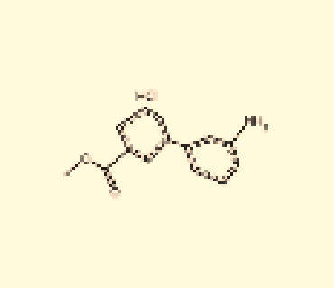 COC(=O)c1cccc(-c2cccc(N)c2)c1.Cl